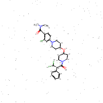 CN(C)C(=O)c1ccc(N2CCC(OC3CCN(C(=O)[C@@H](c4ccccc4)C(F)F)CC3)CC2)cc1Cl